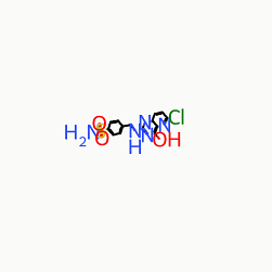 NS(=O)(=O)c1ccc(CNc2nc(O)c3nc(Cl)ccc3n2)cc1